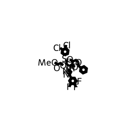 COC(=O)COC1C(n2cc(-c3cc(F)c(F)c(F)c3)nn2)[C@H]2OC(c3ccccc3)OCC2O[C@@H]1Sc1ccc(Cl)c(Cl)c1